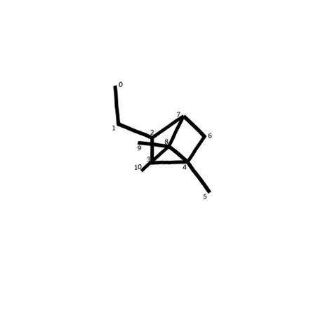 CCC1CC2(C)CC1C2(C)C